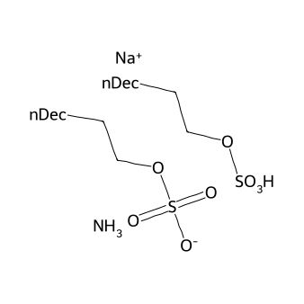 CCCCCCCCCCCCOS(=O)(=O)O.CCCCCCCCCCCCOS(=O)(=O)[O-].N.[Na+]